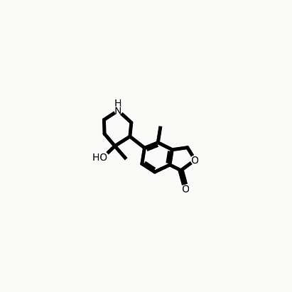 Cc1c(C2CNCCC2(C)O)ccc2c1COC2=O